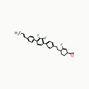 C/C=C/c1ccc(-c2ccc(-c3ccc(CCC4CCC(C5CO5)C=C4F)cc3)c(F)c2F)cc1